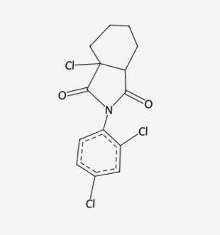 O=C1C2CCCCC2(Cl)C(=O)N1c1ccc(Cl)cc1Cl